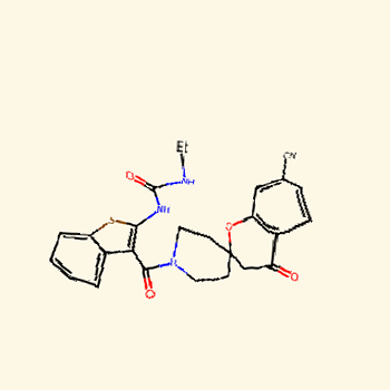 CCNC(=O)Nc1sc2ccccc2c1C(=O)N1CCC2(CC1)CC(=O)c1ccc(C#N)cc1O2